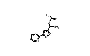 NC(OC(=O)C(F)(F)F)c1cc(-c2ncccn2)no1